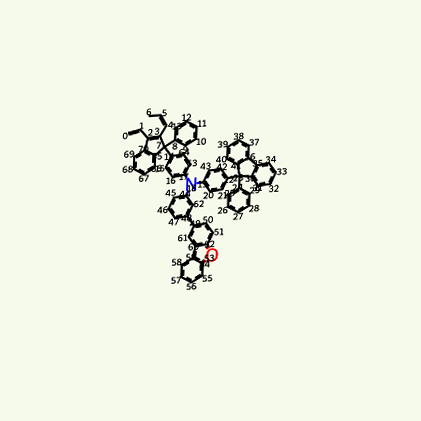 C=CC1=C(/C=C\C)C(c2ccccc2)(c2ccc(N(c3ccc(C4(c5ccccc5)c5ccccc5-c5ccccc54)cc3)c3cccc(-c4ccc5oc6ccccc6c5c4)c3)cc2)c2ccccc21